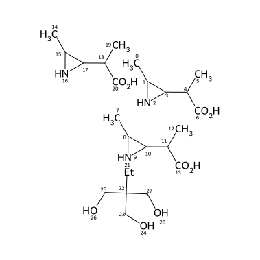 CC1NC1C(C)C(=O)O.CC1NC1C(C)C(=O)O.CC1NC1C(C)C(=O)O.CCC(CO)(CO)CO